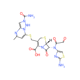 CC1=NC2=CN(C(N)=O)NN2C(SCC2=C(C(=O)O)N3C(=O)[C@@H](N(C(=O)C=O)c4csc(N)n4)[C@H]3SC2)=C1